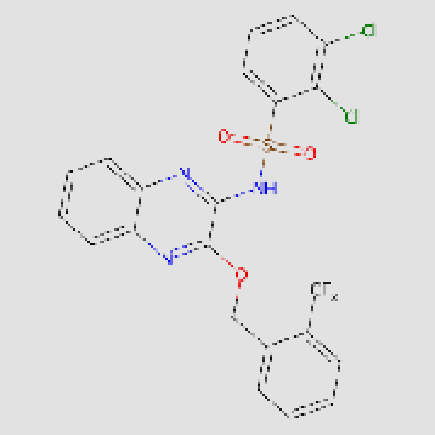 O=S(=O)(Nc1nc2ccccc2nc1OCc1ccccc1C(F)(F)F)c1cccc(Cl)c1Cl